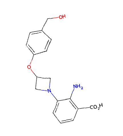 Nc1c(C(=O)O)cccc1N1CC(Oc2ccc(CO)cc2)C1